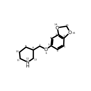 c1cc2c(cc1OCC1CCCNC1)OCO2